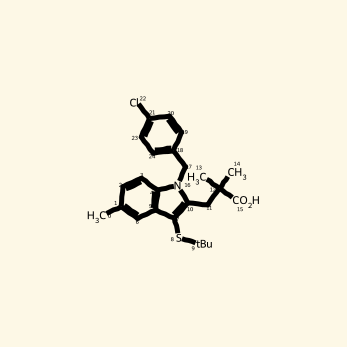 Cc1ccc2c(c1)c(SC(C)(C)C)c(CC(C)(C)C(=O)O)n2Cc1ccc(Cl)cc1